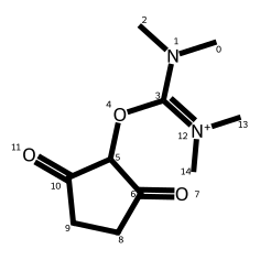 CN(C)C(OC1C(=O)CCC1=O)=[N+](C)C